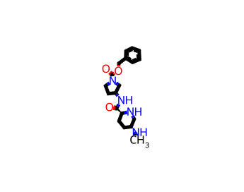 CN[C@@H]1CC[C@@H](C(=O)NC2CCN(C(=O)OCc3ccccc3)C2)NC1